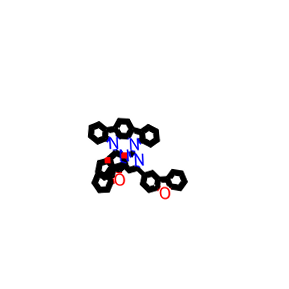 c1ccc(-c2cc(-c3ccc4oc5ccccc5c4c3)nc(-n3c4ccccc4c4ccc5c6ccccc6n(-c6ccc7oc8ccccc8c7c6)c5c43)n2)cc1